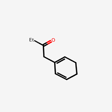 CCC(=O)CC1=CCCC=C1